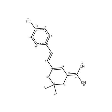 CC1(C)CC(C=Cc2ccc(O)cc2)=CC(=C(C#N)C#N)C1